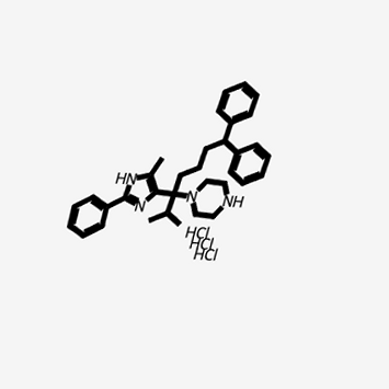 Cc1[nH]c(-c2ccccc2)nc1C(CCCC(c1ccccc1)c1ccccc1)(C(C)C)N1CCNCC1.Cl.Cl.Cl